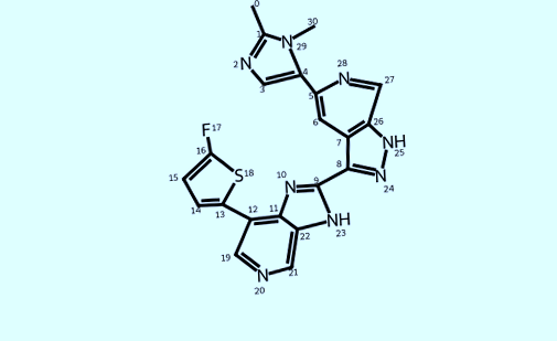 Cc1ncc(-c2cc3c(-c4nc5c(-c6ccc(F)s6)cncc5[nH]4)n[nH]c3cn2)n1C